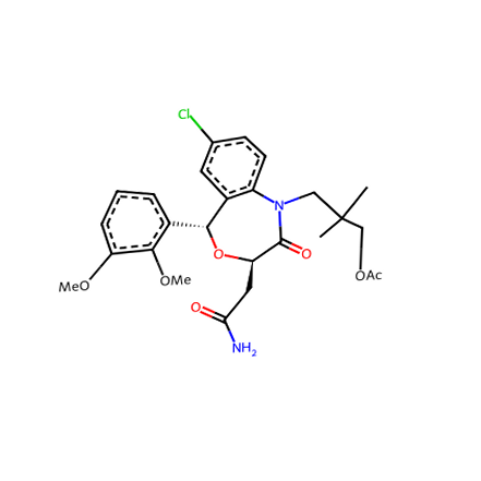 COc1cccc([C@H]2O[C@H](CC(N)=O)C(=O)N(CC(C)(C)COC(C)=O)c3ccc(Cl)cc32)c1OC